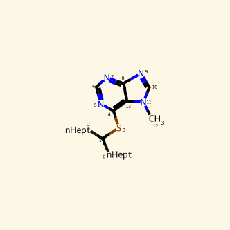 CCCCCCCC(CCCCCCC)Sc1ncnc2ncn(C)c12